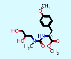 COC(=O)[C@H](Cc1ccc(OC)cc1)NC(=O)N(C)CC(O)CO